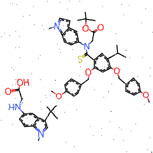 COc1ccc(COc2cc(OCc3ccc(OC)cc3)c(C(C)C)cc2C(=S)N(CC(=O)OC(C)(C)C)c2ccc3c(ccn3C)c2)cc1.Cn1cc(C(C)(C)C)c2cc(NCC(=O)O)ccc21